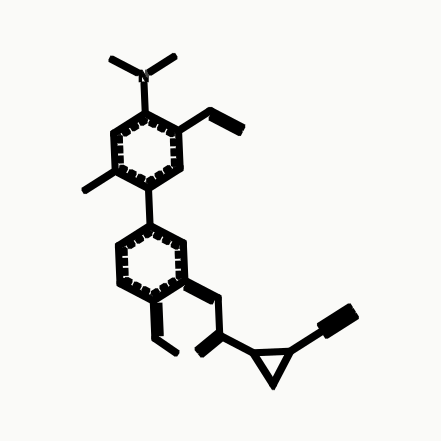 C#CC1CC1C(=C)/C=c1/cc(-c2cc(C=C)c(N(C)C)cc2C)cc/c1=C/C